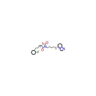 O=C1S/C(=C/CCc2ccccc2F)C(=O)N1CCCCSc1cccc2nccn12